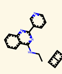 CCNc1nc(-c2cccnc2)nc2ccccc12.c1cc2ccc1-2